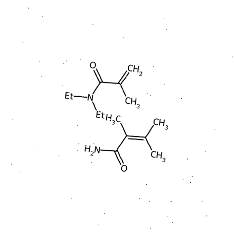 C=C(C)C(=O)N(CC)CC.CC(C)=C(C)C(N)=O